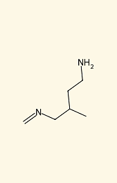 C=NCC(C)CCN